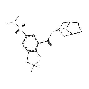 CN1C2CCC1CC(NC(=O)c1cc(S(=O)(=O)N(C)C)cc3c1OC(C)(C)C3)C2